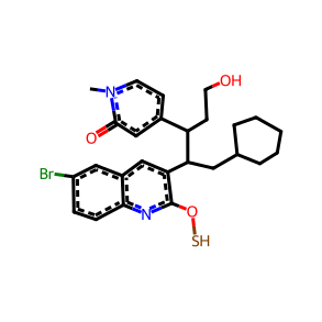 Cn1ccc(C(CCO)C(CC2CCCCC2)c2cc3cc(Br)ccc3nc2OS)cc1=O